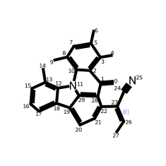 C=c1c2c(C)c(C)cc(C)c2n2c3c(C)cccc3c3ccc(/C(C#N)=C\C)c1c32